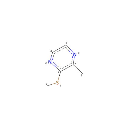 CSc1nccnc1C